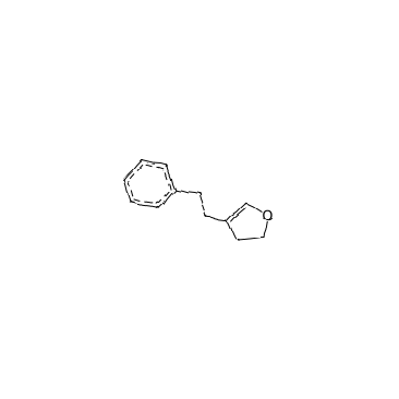 C1=C(CCc2ccccc2)CCO1